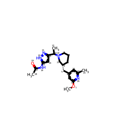 COc1cc(C[C@H]2CCCN(C(C)c3cc(NC(C)=O)[nH]n3)C2)cc(C)n1